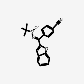 CC(C)(C)[S+]([O-])N=C(c1ccc(C#N)cc1)c1cc2ccccc2o1